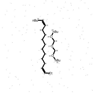 CC/C=C\CCCCCCCC/C=C\CCCC.CCCCOCOCOCCCC